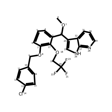 COC(c1cccc(OCc2ccc(Cl)cc2)c1OCC(F)(F)F)c1c[nH]c2ncccc12